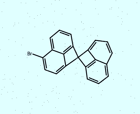 Brc1ccc2c3c(cccc13)C21c2cccc3cccc1c23